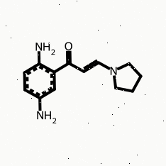 Nc1ccc(N)c(C(=O)C=CN2CCCC2)c1